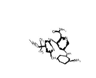 Cc1cc(C(C)(C)O)cc(Nc2cc(N[C@@H]3CCCC[C@@H]3N)cnc2C(N)=O)n1